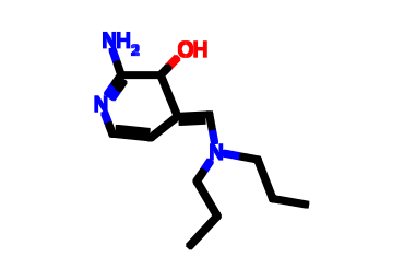 CCCN(C=C1C=CN=C(N)C1O)CCC